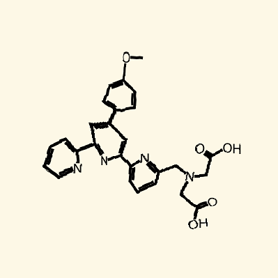 COc1ccc(-c2cc(-c3ccccn3)nc(-c3cccc(CN(CC(=O)O)CC(=O)O)n3)c2)cc1